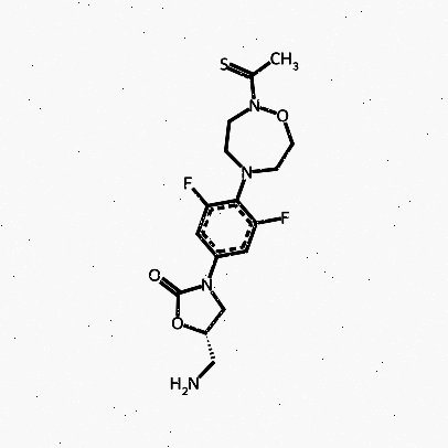 CC(=S)N1CCN(c2c(F)cc(N3C[C@H](CN)OC3=O)cc2F)CCO1